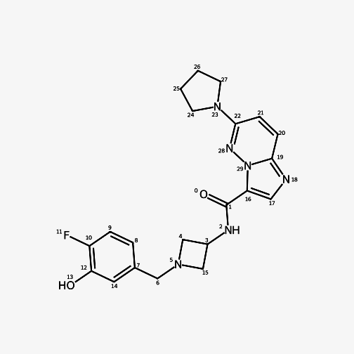 O=C(NC1CN(Cc2ccc(F)c(O)c2)C1)c1cnc2ccc(N3CCCC3)nn12